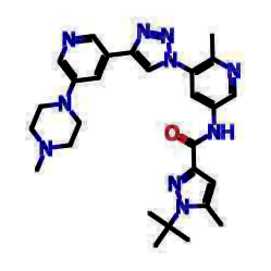 Cc1ncc(NC(=O)c2cc(C)n(C(C)(C)C)n2)cc1-n1cc(-c2cncc(N3CCN(C)CC3)c2)nn1